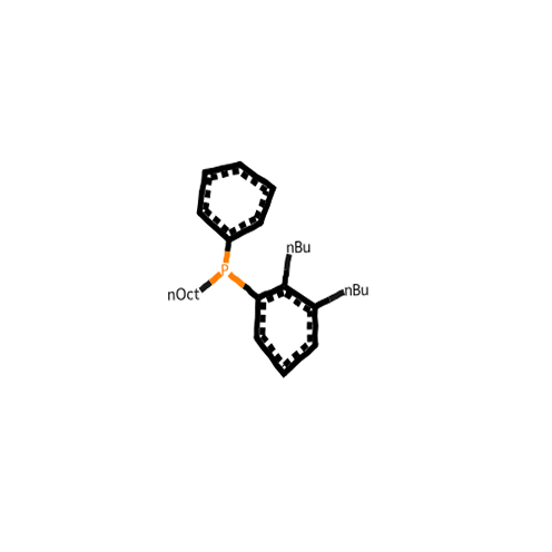 CCCCCCCCP(c1ccccc1)c1cccc(CCCC)c1CCCC